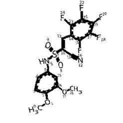 COc1ccc(NS(=O)(=O)/C(C#N)=C/c2c(F)c(F)c(F)c(F)c2F)cc1OC